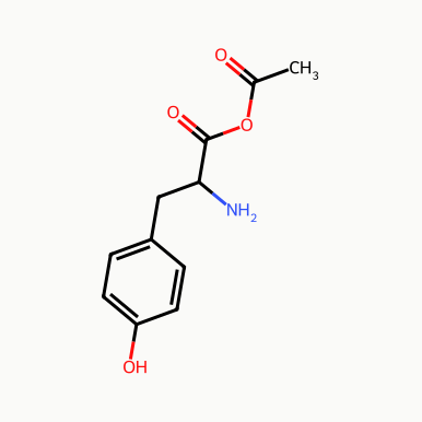 CC(=O)OC(=O)C(N)Cc1ccc(O)cc1